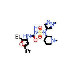 CCc1oc(C(C)C)cc1NC(=O)NS(=O)(=O)N(c1cnn(C)c1)C1CCCN(C)C1